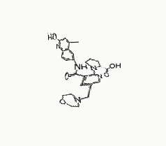 Cc1cc(O)nc2ccc(NC(=O)c3cc(CN4CCOCC4)cnc3N3CCC[C@@H]3C(=O)O)cc12